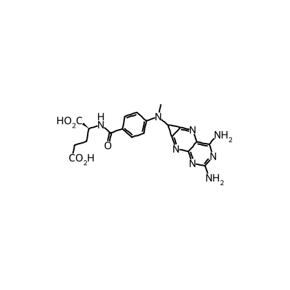 CN(c1ccc(C(=O)N[C@@H](CCC(=O)O)C(=O)O)cc1)C1c2nc3nc(N)nc(N)c3nc21